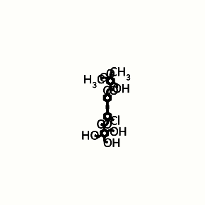 COc1cc(CO)c(C(=O)Oc2ccc(C#Cc3ccc(OC(=O)c4cc(CO)c(CO)cc4CO)c(Cl)c3)cc2)cc1OC